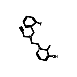 C#CCN(CCN1C=CC=C(O)C1C)Cc1ccccc1F